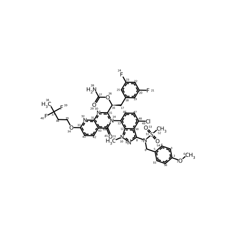 COc1ccc(CN(c2nn(C)c3c(-n4c([C@H](Cc5cc(F)cc(F)c5)OC(N)=O)nc5nc(OCCC(C)(F)F)ccc5c4=O)ccc(Cl)c23)S(C)(=O)=O)cc1